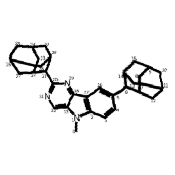 Cn1c2ccc(C3C4CC5CC(C4)CC3C5)cc2c2nc(C3C4CC5CC(C4)CC3C5)ncc21